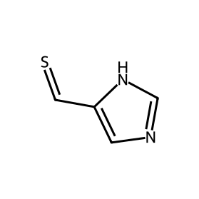 S=Cc1cnc[nH]1